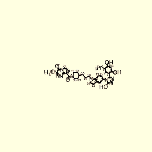 CC(C)c1cc(-c2nnc(O)n2-c2ccc3c(ccn3CCCC3CCN(C(=O)c4ncn5c(=O)n(C)nnc45)CC3)c2)c(O)cc1O